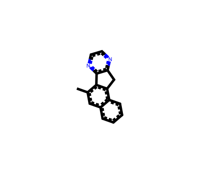 Cc1cc2ccccc2c2c1-c1nccnc1C2